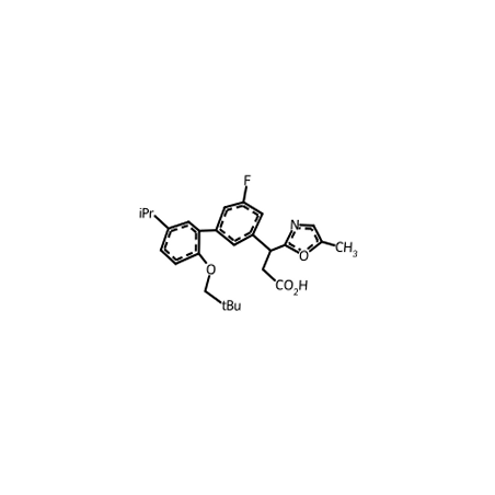 Cc1cnc(C(CC(=O)O)c2cc(F)cc(-c3cc(C(C)C)ccc3OCC(C)(C)C)c2)o1